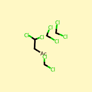 CC(=O)CC(Cl)Cl.ClCCl.ClCCl.ClCCl